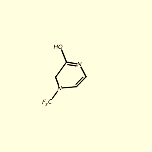 OC1=NC=CN(C(F)(F)F)C1